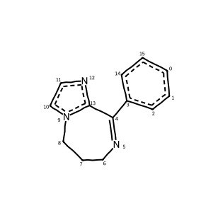 c1ccc(C2=NCCCn3ccnc32)cc1